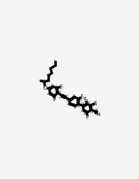 CCCCCCC(C)Oc1cc(F)c(C#Cc2ccc(-c3cc(F)c(C#N)c(F)c3F)c(F)c2)c(F)c1